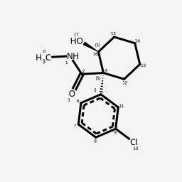 CNC(=O)[C@]1(c2cccc(Cl)c2)CCCC[C@@H]1O